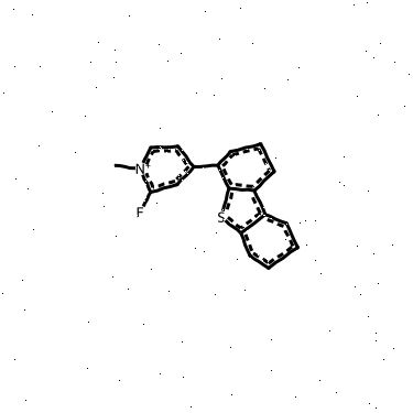 C[n+]1ccc(-c2cccc3c2sc2ccccc23)cc1F